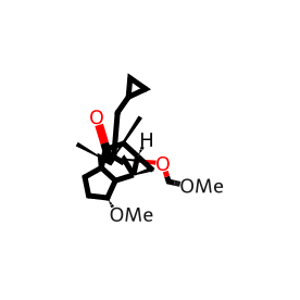 COCO[C@@H]1C[C@@](C)(CC2CC2)C(=O)[C@H](C)C23CC[C@H]4C[C@]41C2[C@H](OC)CC3